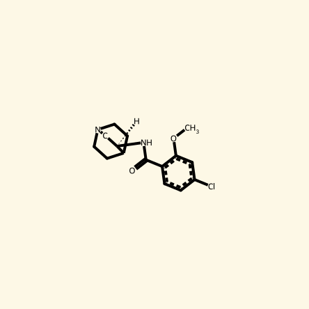 COc1cc(Cl)ccc1C(=O)N[C@@H]1CN2CCC1CC2